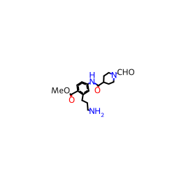 COC(=O)c1ccc(NC(=O)C2CCN(C=O)CC2)cc1CCCN